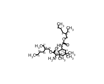 CCCCC(CC)COC(=O)NC1CC(C)(C)CC(C)(C(N)C(=O)OCC(CC)CCCC)C1